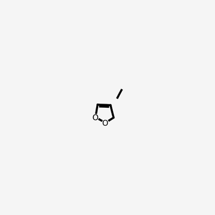 C1=COOC1.CC